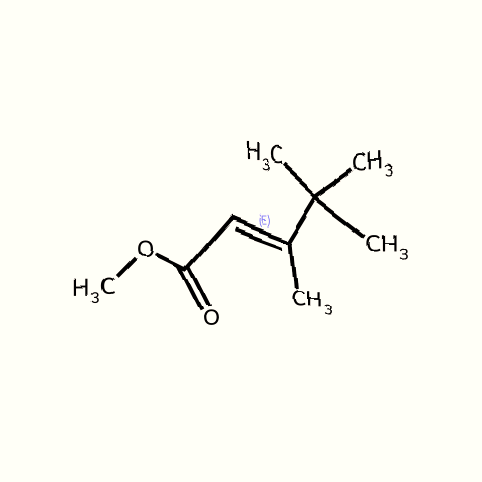 COC(=O)/C=C(\C)C(C)(C)C